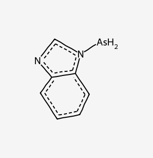 [AsH2]n1cnc2ccccc21